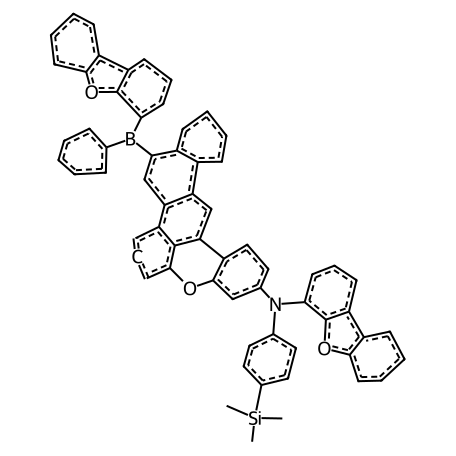 C[Si](C)(C)c1ccc(N(c2ccc3c(c2)Oc2cccc4c2c-3cc2c3ccccc3c(B(c3ccccc3)c3cccc5c3oc3ccccc35)cc42)c2cccc3c2oc2ccccc23)cc1